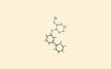 CC(=O)CC1COCCN1Cc1cccc(-c2ccccn2)c1